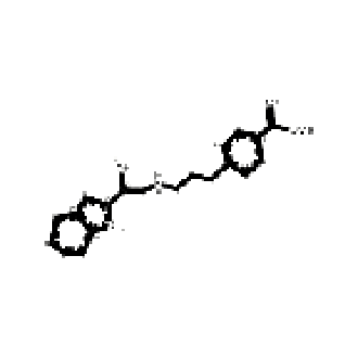 COC(=O)c1ccc(CCCNCC(O)c2cc3ccccc3o2)cc1